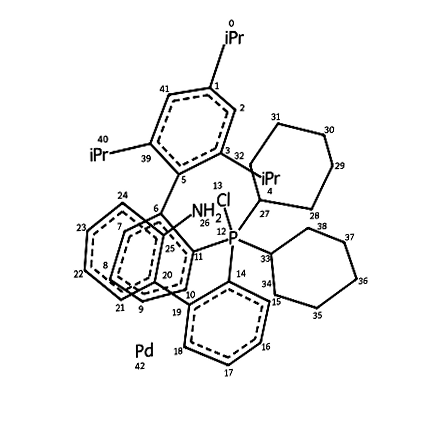 CC(C)c1cc(C(C)C)c(-c2ccccc2P(Cl)(c2ccccc2-c2ccccc2N)(C2CCCCC2)C2CCCCC2)c(C(C)C)c1.[Pd]